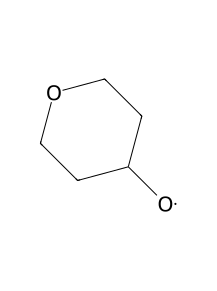 [O]C1CCOCC1